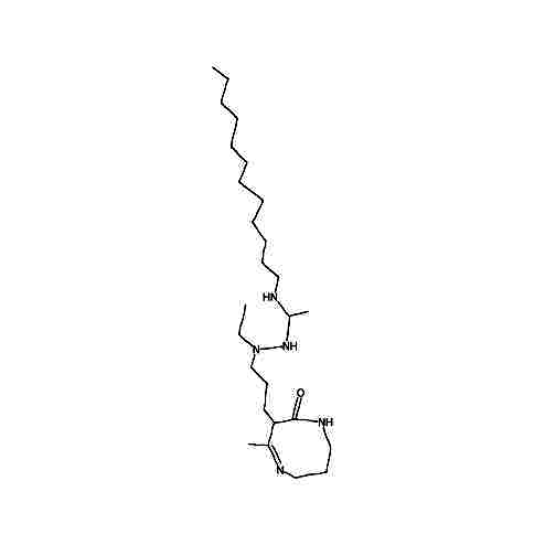 CCCCCCCCCCCCNC(C)NN(CC)CCCC1C(=O)NCCC/N=C\1C